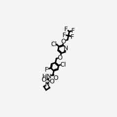 O=C(NS(=O)(=O)N1CCC1)c1cc(Cl)c(COc2cnc(OCC(F)(F)C(F)F)c(Cl)c2)cc1F